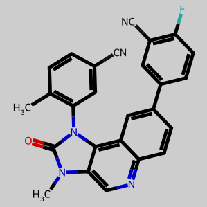 Cc1ccc(C#N)cc1-n1c(=O)n(C)c2cnc3ccc(-c4ccc(F)c(C#N)c4)cc3c21